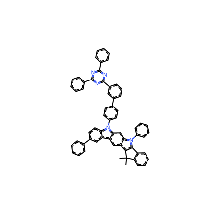 CC1(C)c2ccccc2-c2c1c1cc3c4cc(-c5ccccc5)ccc4n(-c4ccc(-c5cccc(-c6nc(-c7ccccc7)nc(-c7ccccc7)n6)c5)cc4)c3cc1n2-c1ccccc1